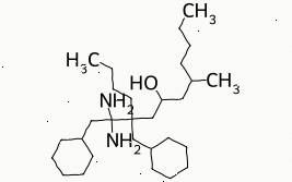 CCCCC(C)CC(O)CC(CCCC)(CC1CCCCC1)C(N)(N)CC1CCCCC1